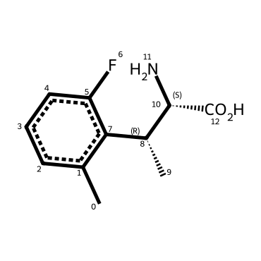 Cc1cccc(F)c1[C@@H](C)[C@H](N)C(=O)O